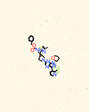 Cc1csc(C2(CNC(=O)OCc3ccccc3)C3CCN(c4cnc5c(-c6cccnc6C(F)(F)F)nn(C6CCCCO6)c5n4)CC32)n1